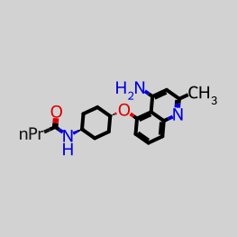 CCCC(=O)N[C@H]1CC[C@H](Oc2cccc3nc(C)cc(N)c23)CC1